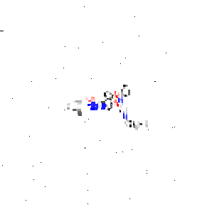 CCOC(=O)N1CCC(N(c2ccccc2)S(=O)(=O)c2cccc3c(C(=O)NC4CCCCC4C)cccc23)CC1